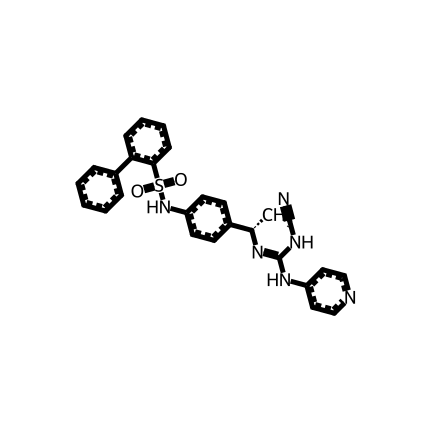 C[C@H](/N=C(\NC#N)Nc1ccncc1)c1ccc(NS(=O)(=O)c2ccccc2-c2ccccc2)cc1